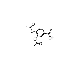 CC(=O)Oc1ccc(C(O)=S)cc1OC(C)=O